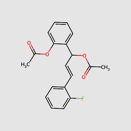 CC(=O)Oc1ccccc1C(C=Cc1ccccc1F)OC(C)=O